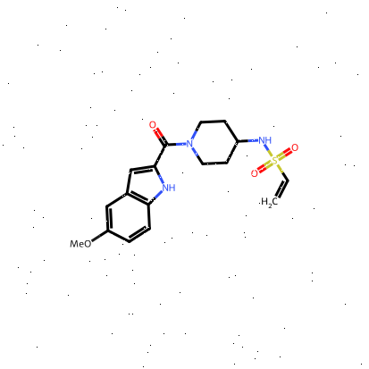 C=CS(=O)(=O)NC1CCN(C(=O)c2cc3cc(OC)ccc3[nH]2)CC1